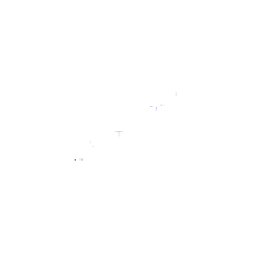 C/C=C/CC/C=C/CC(=O)OC